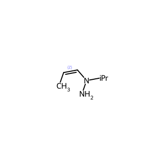 C/C=C\N(N)C(C)C